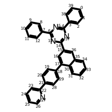 c1ccc(-c2nc(-c3ccccc3)nc(-c3cc(-c4ccc(-c5ccccn5)cc4)c4ccccc4c3)n2)cc1